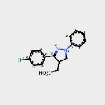 O=C(O)CC1CN(c2ccccc2)N=C1c1ccc(Cl)cc1